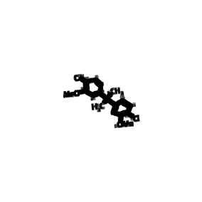 COc1cc(C(C)(C)c2ccc(Cl)c(OC)c2)ccc1Cl